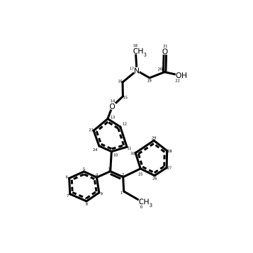 CC/C(=C(\c1ccccc1)c1ccc(OCCN(C)CC(=O)O)cc1)c1ccccc1